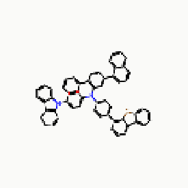 C1=Cc2c(c3ccccc3n2-c2ccc(N(c3ccc(-c4cccc5c4sc4ccccc45)cc3)c3cc(-c4cccc5ccccc45)ccc3-c3ccccc3)cc2)CC1